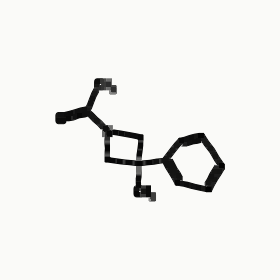 CC(=O)N1CC(C)(c2ccccc2)C1